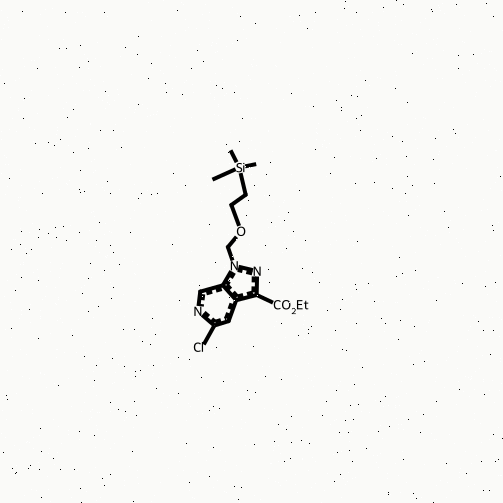 CCOC(=O)c1nn(COCC[Si](C)(C)C)c2cnc(Cl)cc12